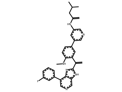 C=C(CC(C)C)Nc1cncc(-c2ccc(NC)c(C(=C)c3nc4c(-c5cccc(F)c5)cncc4[nH]3)c2)c1